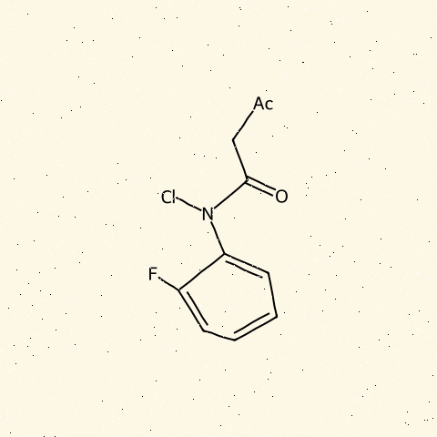 CC(=O)CC(=O)N(Cl)c1ccccc1F